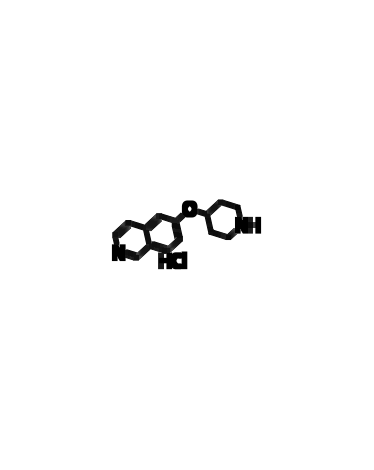 Cl.c1cc2cc(OC3CCNCC3)ccc2cn1